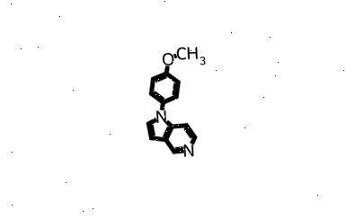 COc1ccc(-n2ccc3cnccc32)cc1